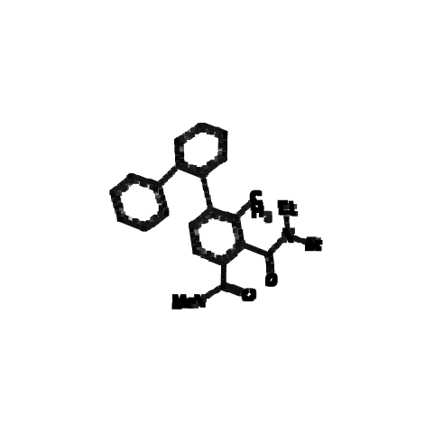 CCN(CC)C(=O)c1c(C(=O)NC)ccc(-c2ccccc2-c2ccccc2)c1C